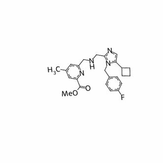 COC(=O)c1cc(C)cc(CNCc2ncc(C3CCC3)n2Cc2ccc(F)cc2)n1